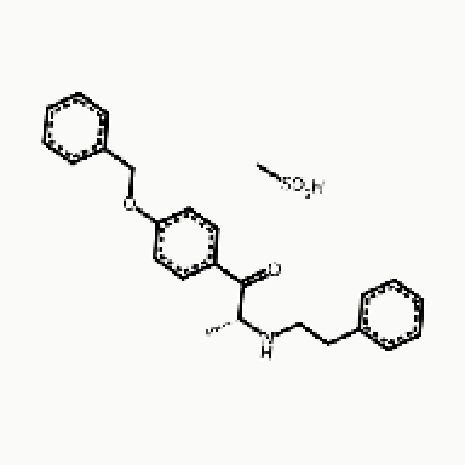 CS(=O)(=O)O.C[C@@H](NCCc1ccccc1)C(=O)c1ccc(OCc2ccccc2)cc1